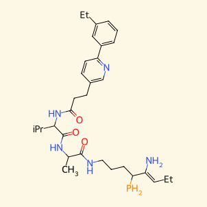 CC/C=C(\N)C(P)CCCNC(=O)C(C)NC(=O)C(NC(=O)CCc1ccc(-c2cccc(CC)c2)nc1)C(C)C